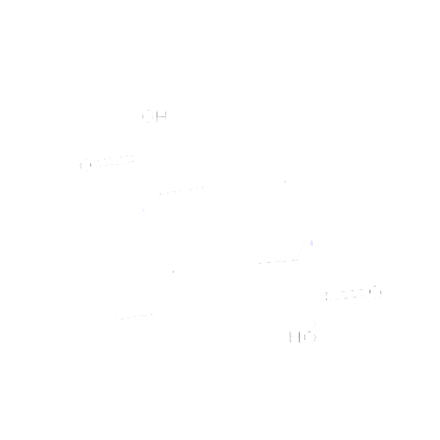 C/C(=C\CC(C)C)C(=O)O.CCCC/C=C(\C)C(=O)O